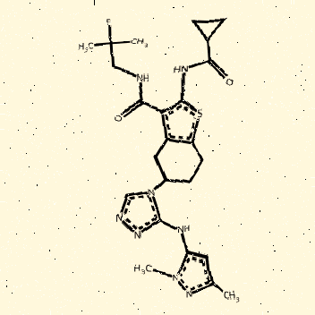 Cc1cc(Nc2nncn2C2CCc3sc(NC(=O)C4CC4)c(C(=O)NCC(C)(C)F)c3C2)n(C)n1